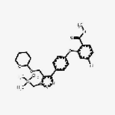 COC(=O)c1ccc(Cl)cc1Oc1ccc(-c2nnn(C[Si](C)(C)C)c2COC2CCCCO2)cc1